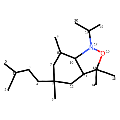 CC(C)CCC1(C)CC(C)C2C(C1)C(C)(C)ON2C(C)C